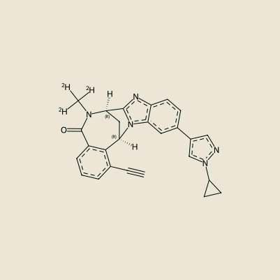 [2H]C([2H])([2H])N1C(=O)c2cccc(C#C)c2[C@H]2C[C@@H]1c1nc3ccc(-c4cnn(C5CC5)c4)cc3n12